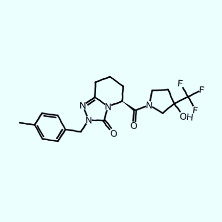 Cc1ccc(Cn2nc3n(c2=O)[C@H](C(=O)N2CCC(O)(C(F)(F)F)C2)CCC3)cc1